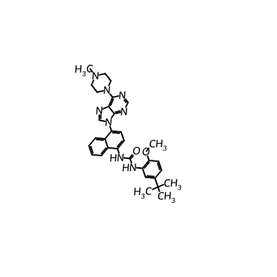 COc1ccc(C(C)(C)C)cc1NC(=O)Nc1ccc(-n2cnc3c(N4CCN(C)CC4)ncnc32)c2ccccc12